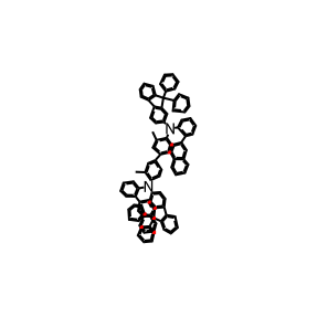 Cc1cc(-c2ccc(N(c3ccc4c(c3)C(c3ccccc3)(c3ccccc3)c3ccccc3-4)c3ccccc3-c3ccc4ccccc4c3)c(C)c2)ccc1N(c1ccc2c(c1)C(c1ccccc1)(c1ccccc1)c1ccccc1-2)c1ccccc1-c1ccc2ccccc2c1